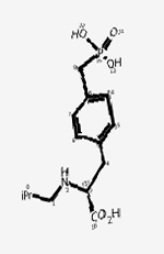 CC(C)CN[C@@H](Cc1ccc(CP(=O)(O)O)cc1)C(=O)O